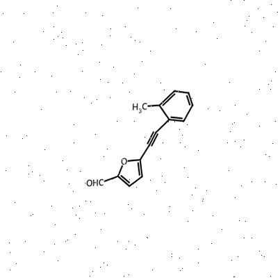 Cc1ccccc1C#Cc1ccc([C]=O)o1